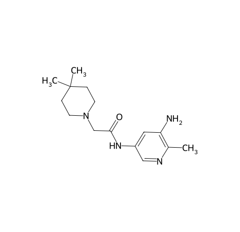 Cc1ncc(NC(=O)CN2CCC(C)(C)CC2)cc1N